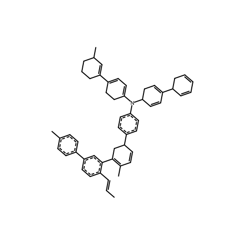 C/C=C/c1ccc(-c2ccc(C)cc2)cc1C1=C(C)C=CC(c2ccc(N(C3=CC=C(C4=CC(C)CCC4)CC3)C3C=CC(C4C=CC=CC4)=CC3)cc2)C1